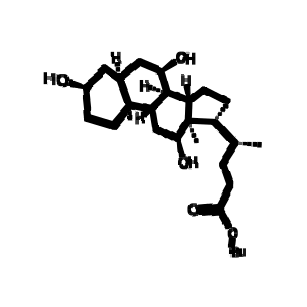 CCC(C)OC(=O)CC[C@@H](C)[C@H]1CC[C@H]2[C@@H]3[C@H](O)C[C@@H]4C[C@H](O)CC[C@]4(C)[C@H]3C[C@H](O)[C@]12C